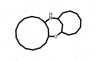 C1CCCCCC2CC(CCCCC1)OC1CCCCCCCC(C1)N2